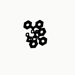 O=C(OC(c1ccccc1)c1ccccc1)C(N1CCC1=O)=P(c1ccccc1)(c1ccccc1)c1ccccc1